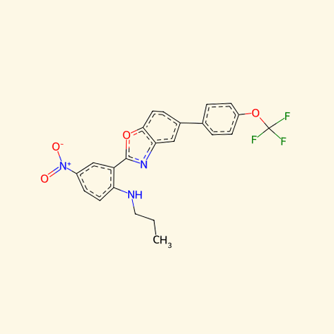 CCCNc1ccc([N+](=O)[O-])cc1-c1nc2cc(-c3ccc(OC(F)(F)F)cc3)ccc2o1